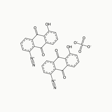 N#[N+]c1cccc2c1C(=O)c1cccc(O)c1C2=O.N#[N+]c1cccc2c1C(=O)c1cccc(O)c1C2=O.O=S(=O)([O-])[O-]